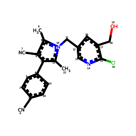 [C-]#[N+]c1ccc(-c2c(C#N)c(C)n(Cc3cnc(Cl)c(CO)c3)c2C)cc1